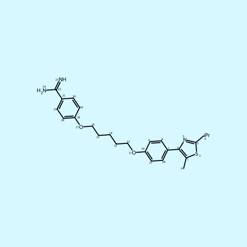 Cc1sc(C(C)C)nc1-c1ccc(OCCCCCOc2ccc(C(=N)N)cc2)cc1